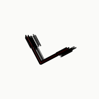 [Mg+2].[Mg+2].[Mg+2].[Mg+2].[Mg+2].[Mg+2].[Mg+2].[Mg+2].[Mg+2].[Mg+2].[Mg+2].[Mg+2].[Mg+2].[Mg+2].[Mg+2].[Mg+2].[Mg+2].[Mg+2].[Mg+2].[Mg+2].[Mg+2].[Mg+2].[Mg+2].[Mg+2].[Mg+2].[Mg+2].[Mg+2].[Mg+2].[Mg+2].[Mg+2].[Mg+2].[Mg+2].[Mg+2].[Mg+2].[Mg+2].[Mg+2].[Mg+2].[Mg+2].[Mg+2].[Mg+2].[O-2].[O-2].[O-2].[O-2].[O-2].[O-2].[O-2].[O-2].[O-2].[O-2].[O-2].[O-2].[O-2].[O-2].[O-2].[O-2].[O-2].[O-2].[O-2].[O-2].[O-2].[O-2].[O-2].[O-2].[O-2].[O-2].[O-2].[O-2].[O-2].[O-2].[O-2].[O-2].[O-2].[O-2].[O-2].[O-2].[O-2].[O-2].[O-2].[O-2].[O-2].[O-2].[O-2].[O-2].[O-2].[O-2].[O-2].[O-2].[O-2].[O-2].[O-2].[O-2].[O-2].[O-2].[O-2].[O-2].[O-2].[O-2].[O-2].[O-2]